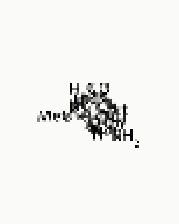 CC[C@@H]1CN(C(=O)C(C)O)CC[C@H]1Nc1c(C(N)=O)cnn2cc(-c3ccnc(OC)c3)cc12